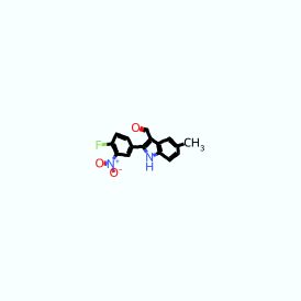 Cc1ccc2[nH]c(-c3ccc(F)c([N+](=O)[O-])c3)c(C=O)c2c1